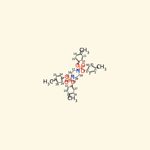 Cc1ccc(OP(=O)(Oc2ccc(C)cc2)N2CCN(P(=O)(Oc3ccc(C)cc3)Oc3ccc(C)cc3)CC2)cc1